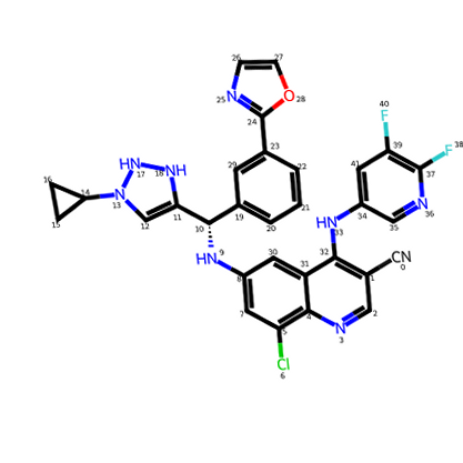 N#Cc1cnc2c(Cl)cc(N[C@H](C3=CN(C4CC4)NN3)c3cccc(-c4ncco4)c3)cc2c1Nc1cnc(F)c(F)c1